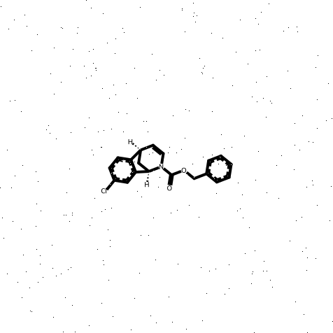 O=C(OCc1ccccc1)N1C=C[C@H]2C[C@@H]1c1cc(Cl)ccc12